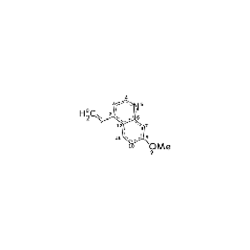 C=Cc1ccnc2cc(OC)ccc12